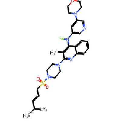 Cc1c(N2CCN(S(=O)(=O)CC=CC(C)C)CC2)nc2ccccc2c1N(F)c1cncc(N2CCOCC2)c1